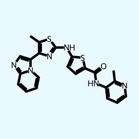 Cc1ncccc1NC(=O)c1ccc(Nc2nc(-c3cnc4ccccn34)c(C)s2)s1